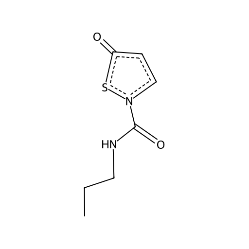 CCCNC(=O)n1ccc(=O)s1